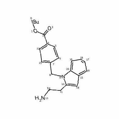 CC(C)(C)OC(=O)c1ccc(Cn2c(CCN)cc3ccccc32)cc1